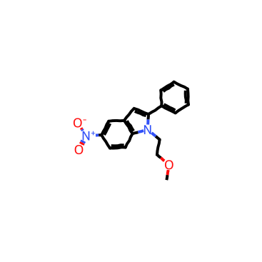 COCCn1c(-c2ccccc2)cc2cc([N+](=O)[O-])ccc21